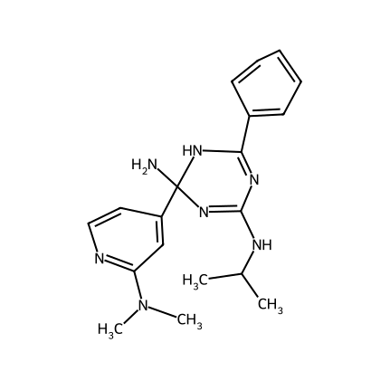 CC(C)NC1=NC(N)(c2ccnc(N(C)C)c2)NC(c2ccccc2)=N1